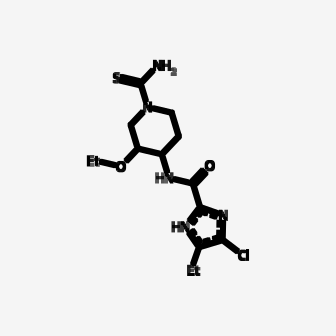 CCOC1CN(C(N)=S)CCC1NC(=O)c1nc(Cl)c(CC)[nH]1